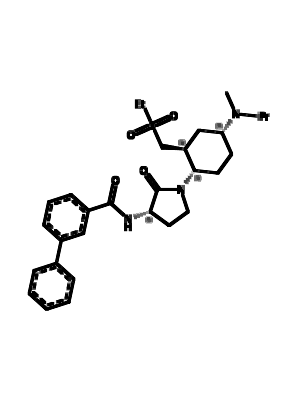 CCS(=O)(=O)C[C@H]1C[C@H](N(C)C(C)C)CC[C@@H]1N1CC[C@H](NC(=O)c2cccc(-c3ccccc3)c2)C1=O